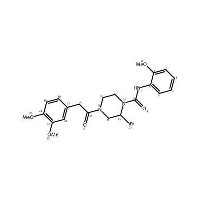 COc1ccccc1NC(=O)N1CCN(C(=O)Cc2ccc(OC)c(OC)c2)CC1C(C)C